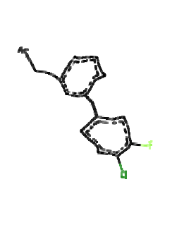 CC(=O)Cc1cccc(-c2ccc(Cl)c(F)c2)c1